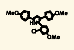 COc1ccc(-c2cc(-c3ccc(OC)cc3)c(-c3ccc(OC)cc3Cl)[nH]2)cc1